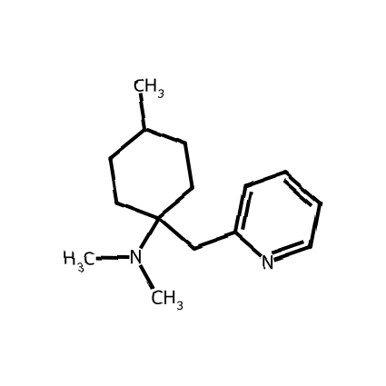 CC1CCC(Cc2ccccn2)(N(C)C)CC1